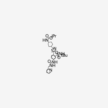 CC(C)OC(=O)NC1CCC(c2ncc(-c3ccc(NC(=O)NCc4ccccn4)cc3S(=O)(=O)NC(C)(C)C)s2)CC1